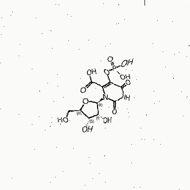 O=C(O)c1c(OP(=O)(O)O)c(=O)[nH]c(=O)n1[C@@H]1O[C@H](CO)[C@@H](O)[C@H]1O